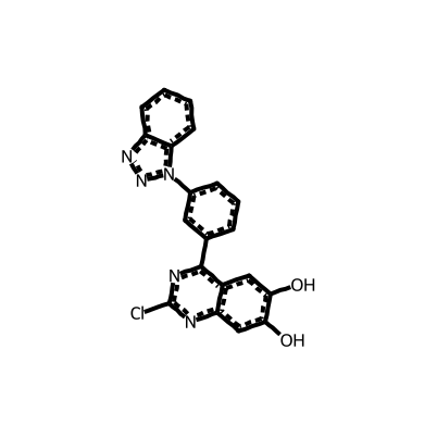 Oc1cc2nc(Cl)nc(-c3cccc(-n4nnc5ccccc54)c3)c2cc1O